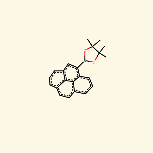 CC1(C)OB(c2cc3cccc4ccc5cccc2c5c43)OC1(C)C